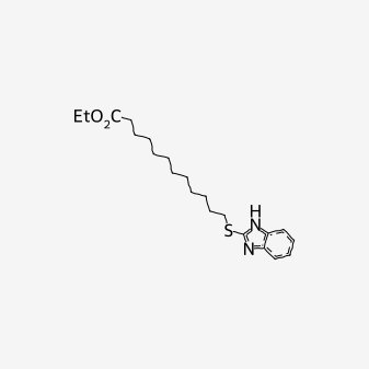 CCOC(=O)CCCCCCCCCCCSc1nc2ccccc2[nH]1